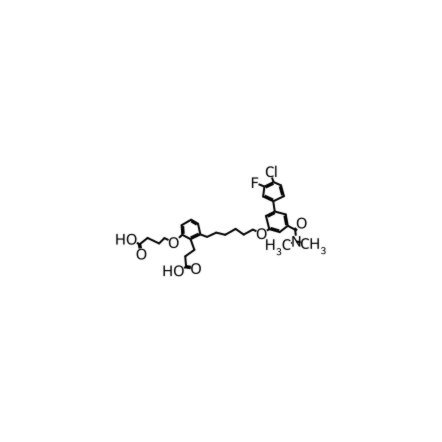 CN(C)C(=O)c1cc(OCCCCCCc2cccc(OCCCC(=O)O)c2CCC(=O)O)cc(-c2ccc(Cl)c(F)c2)c1